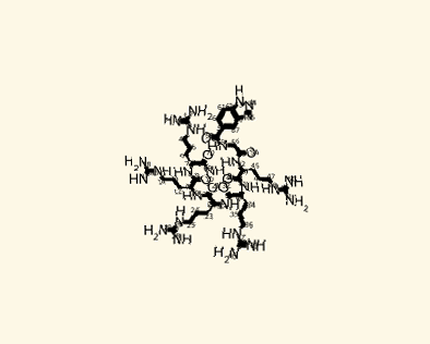 N=C(N)NCCC[C@H](NC(=O)[C@H](CCCNC(=N)N)NC(=O)[C@H](CCCNC(=N)N)NC(=O)[C@H](CCCNC(=N)N)NC(=O)[C@H](CCCNC(=N)N)NC(=O)CNC(=O)c1ccc2[nH]nnc2c1)C(N)=O